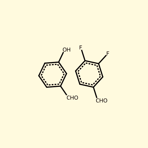 O=Cc1ccc(F)c(F)c1.O=Cc1cccc(O)c1